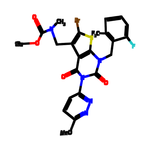 COc1ccc(-n2c(=O)c3c(CN(C)C(=O)OC(C)(C)C)c(Br)sc3n(Cc3c(F)cccc3C(F)(F)F)c2=O)nn1